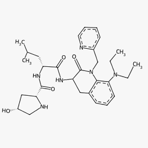 CCN(CC)c1cccc2c1N(Cc1ccccn1)C(=O)C(NC(=O)[C@@H](CC(C)C)NC(=O)[C@H]1C[C@@H](O)CN1)C2